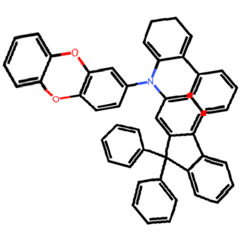 C1=C(c2ccccc2)C(N(c2ccc3c(c2)Oc2ccccc2O3)c2ccc3c(c2)C(c2ccccc2)(c2ccccc2)c2ccccc2-3)=CCC1